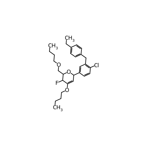 CCCCOCC1OC(c2ccc(Cl)c(Cc3ccc(CC)cc3)c2)C=C(OCCCC)C1F